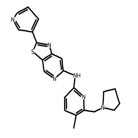 Cc1ccc(Nc2cc3nc(-c4cccnc4)sc3cn2)nc1CN1CCCC1